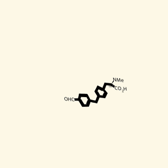 CN[C@@H](Cc1ccc(Cc2ccc(C=O)cc2)cc1)C(=O)O